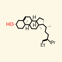 CCC=C(CC[C@@H](C)[C@H]1CC[C@H]2[C@@H]3CC=C4C[C@@H](O)CC[C@]4(C)[C@H]3CC[C@]12C)C(C)C